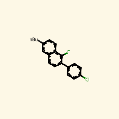 CCCCc1ccc2c(F)c(-c3ccc(Cl)cc3)ccc2c1